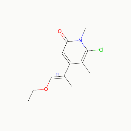 CCO/C=C(\C)c1cc(=O)n(C)c(Cl)c1C